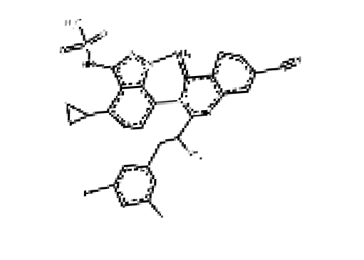 Cn1nc(NS(C)(=O)=O)c2c(C3CC3)ccc(-n3c(C(N)Cc4cc(F)cc(F)c4)nc4cc(C#N)ccc4c3=O)c21